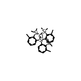 Cc1cccc([Si](Cl)(c2cccc(C)c2[Si](C)(C)C)c2cccc(C)c2[Si](C)(C)C)c1[Si](C)(C)C